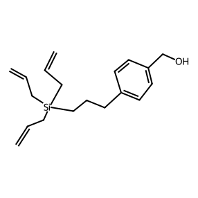 C=CC[Si](CC=C)(CC=C)CCCc1ccc(CO)cc1